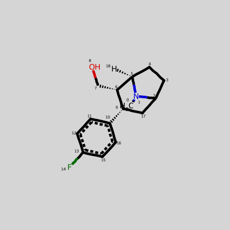 CN1C2CC[C@@H]1[C@@H](CO)[C@@H](c1ccc(F)cc1)C2